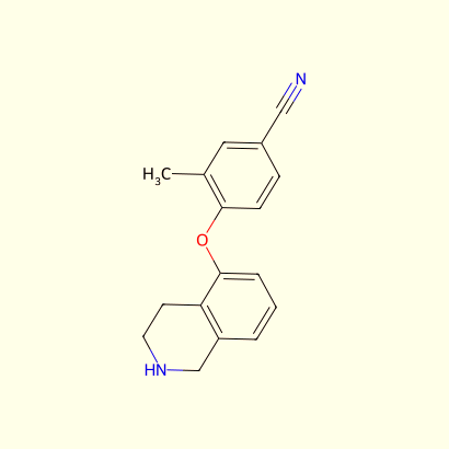 Cc1cc(C#N)ccc1Oc1cccc2c1CCNC2